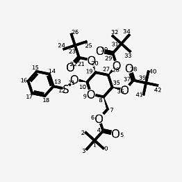 CC(C)(C)C(=O)OC[C@H]1O[C@@H](OSc2ccccc2)[C@H](OC(=O)C(C)(C)C)[C@@H](OC(=O)C(C)(C)C)[C@H]1OC(=O)C(C)(C)C